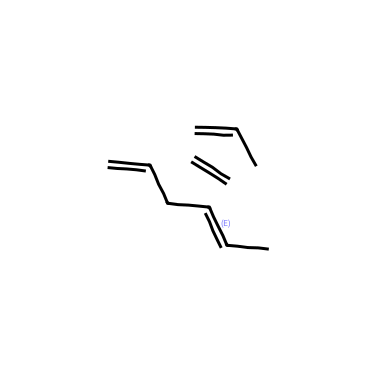 C=C.C=CC.C=CC/C=C/C